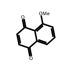 COc1cccc2c1C(=O)C=CC2=O